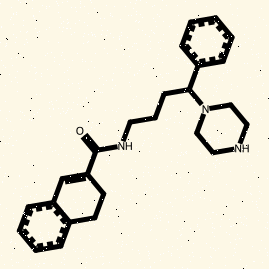 O=C(NCCCC(c1ccccc1)N1CCNCC1)C1=Cc2ccccc2CC1